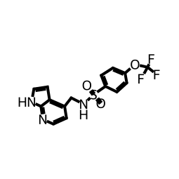 O=S(=O)(NCc1ccnc2[nH]ccc12)c1ccc(OC(F)(F)F)cc1